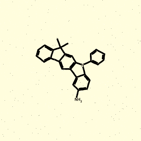 CC1(C)c2ccccc2-c2cc3c4cc(N)ccc4n(-c4ccccc4)c3cc21